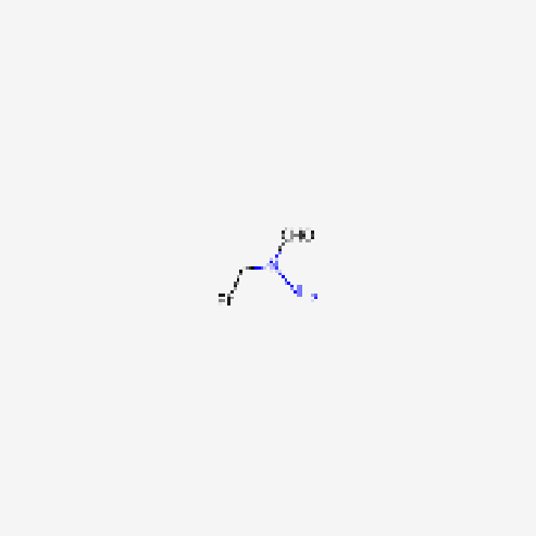 CCCN(N)C=O